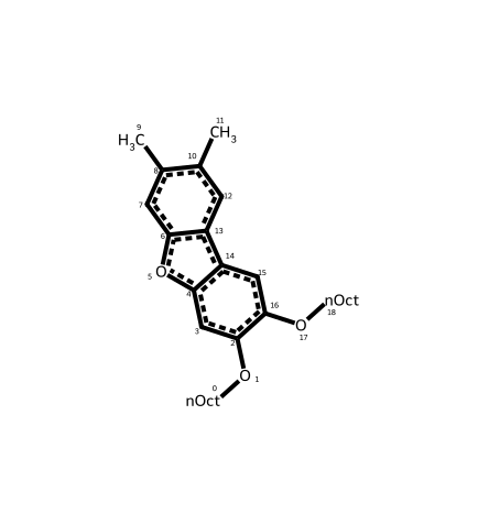 CCCCCCCCOc1cc2oc3cc(C)c(C)cc3c2cc1OCCCCCCCC